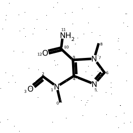 CN(C=O)c1ncn(C)c1C(N)=O